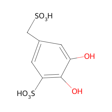 O=S(=O)(O)Cc1cc(O)c(O)c(S(=O)(=O)O)c1